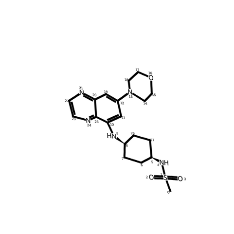 CS(=O)(=O)N[C@H]1CC[C@@H](Nc2cc(N3CCOCC3)cc3nccnc23)CC1